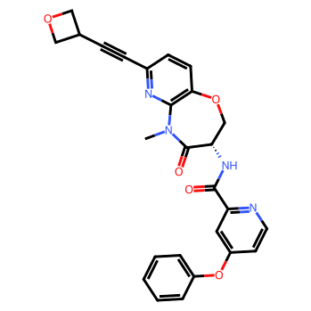 CN1C(=O)[C@@H](NC(=O)c2cc(Oc3ccccc3)ccn2)COc2ccc(C#CC3COC3)nc21